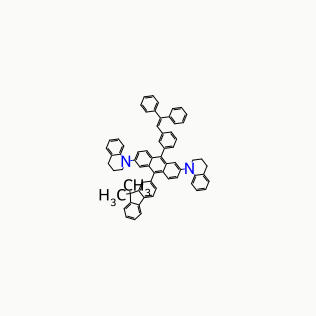 CC1(C)c2ccccc2-c2ccc(-c3c4ccc(N5CCCc6ccccc65)cc4c(-c4cccc(C=C(c5ccccc5)c5ccccc5)c4)c4ccc(N5CCCc6ccccc65)cc34)cc21